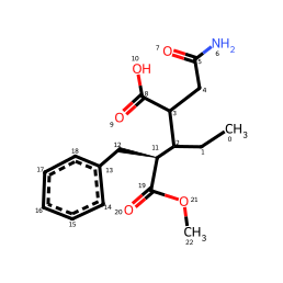 CCC(C(CC(N)=O)C(=O)O)[C@H](Cc1ccccc1)C(=O)OC